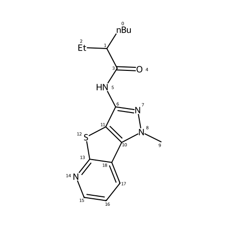 CCCCC(CC)C(=O)Nc1nn(C)c2c1sc1ncccc12